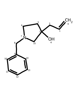 C=CCC1(O)CCN(Cc2ccccc2)C1